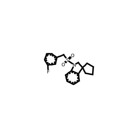 O=S(=O)(Cc1cccc(F)c1)N1CC2(CCCC2)c2ccccc21